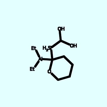 C[CH2][Al]([CH2]C)[C]1([SiH2]C(O)O)CCCCO1